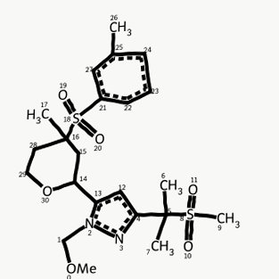 COCn1nc(C(C)(C)S(C)(=O)=O)cc1C1CC(C)(S(=O)(=O)c2cccc(C)c2)CCO1